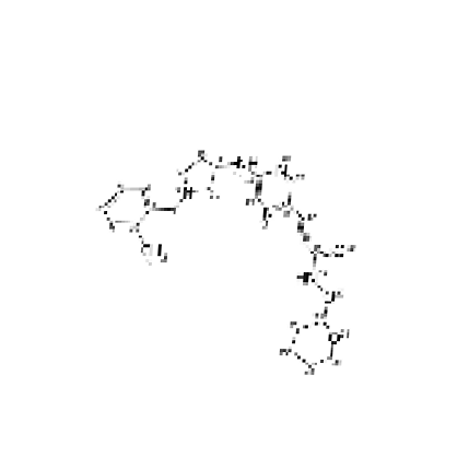 Cc1ccccc1CN1CC[C@@H](Nc2cnc(C=CC(=O)NOC3CCCCO3)cn2)C1